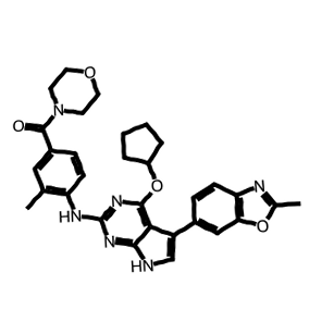 Cc1nc2ccc(-c3c[nH]c4nc(Nc5ccc(C(=O)N6CCOCC6)cc5C)nc(OC5CCCC5)c34)cc2o1